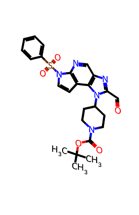 CC(C)(C)OC(=O)N1CCC(n2c(C=O)nc3cnc4c(ccn4S(=O)(=O)c4ccccc4)c32)CC1